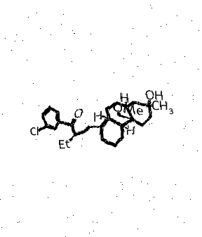 CC[C@H](CC[C@@H]1CCC[C@H]2[C@H]1CC[C@H]1C[C@](C)(O)CC[C@@]12COC)C(=O)c1cccc(Cl)c1